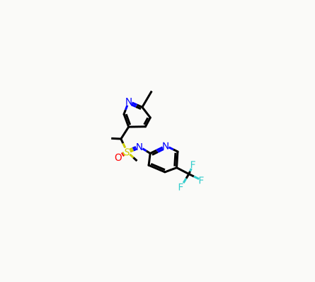 Cc1ccc(C(C)S(C)(=O)=Nc2ccc(C(F)(F)F)cn2)cn1